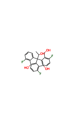 CC(O)C(c1cccc(F)c1CO)(c1cccc(F)c1CO)c1cccc(F)c1CO